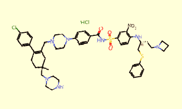 CC1(CN2CCNCC2)CCC(c2ccc(Cl)cc2)=C(CN2CCN(c3ccc(C(=O)NS(=O)(=O)c4ccc(N[C@H](CCN5CCC5)CSc5ccccc5)c([N+](=O)[O-])c4)cc3)CC2)C1.Cl